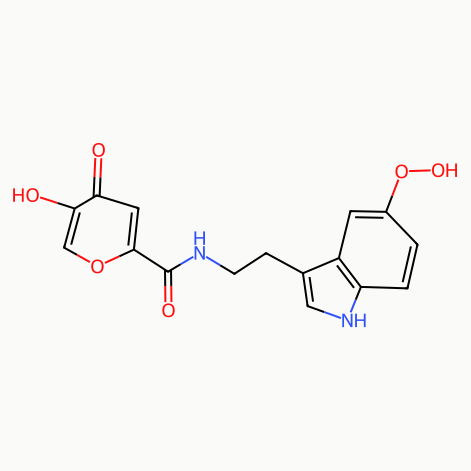 O=C(NCCc1c[nH]c2ccc(OO)cc12)c1cc(=O)c(O)co1